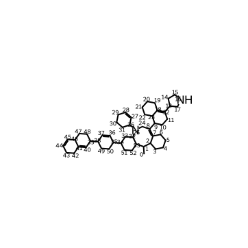 CC1C2CCCC/C2=C(\C2CCC(C3CCNC3)=C3CCCCC32)CN(C2C=CCCC2)C2CC(C3C=CC(C4C=C5CCC=CC5CC4)CC3)CCC12